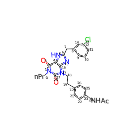 CCCn1c(=O)c2[nH]c(Cc3cccc(Cl)c3)nc2n(CCc2ccc(NC(C)=O)cc2)c1=O